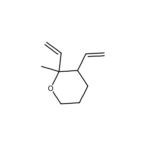 C=CC1CCCOC1(C)C=C